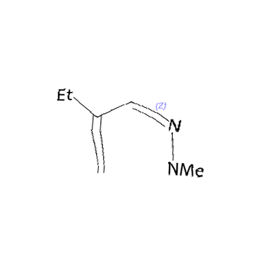 C=C(/C=N\NC)CC